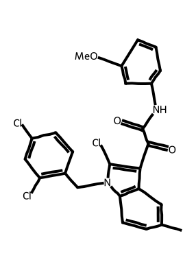 COc1cccc(NC(=O)C(=O)c2c(Cl)n(Cc3ccc(Cl)cc3Cl)c3ccc(C)cc23)c1